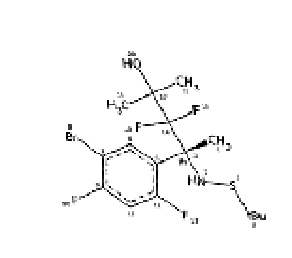 CC(C)(C)SN[C@](C)(c1cc(Br)c(F)cc1F)C(F)(F)C(C)(C)O